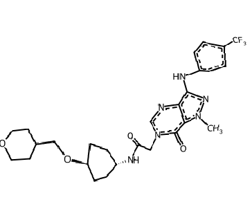 Cn1nc(Nc2ccc(C(F)(F)F)cc2)c2ncn(CC(=O)N[C@H]3CC[C@H](OCC4CCOCC4)CC3)c(=O)c21